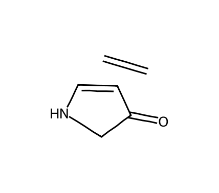 C=C.O=C1C=CNC1